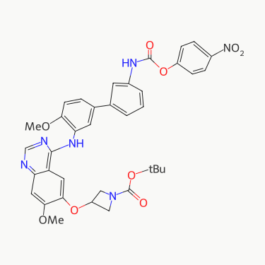 COc1ccc(-c2cccc(NC(=O)Oc3ccc([N+](=O)[O-])cc3)c2)cc1Nc1ncnc2cc(OC)c(OC3CN(C(=O)OC(C)(C)C)C3)cc12